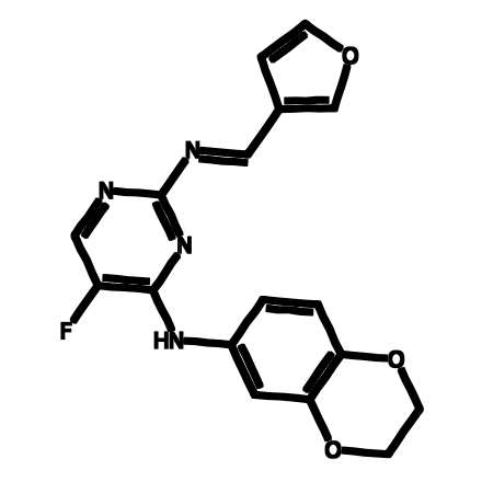 Fc1cnc(N=Cc2ccoc2)nc1Nc1ccc2c(c1)OCCO2